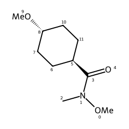 CON(C)C(=O)[C@H]1CC[C@H](OC)CC1